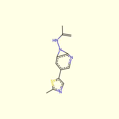 C=C(C)NN1c2cc(-c3cnc(C)s3)cnc21